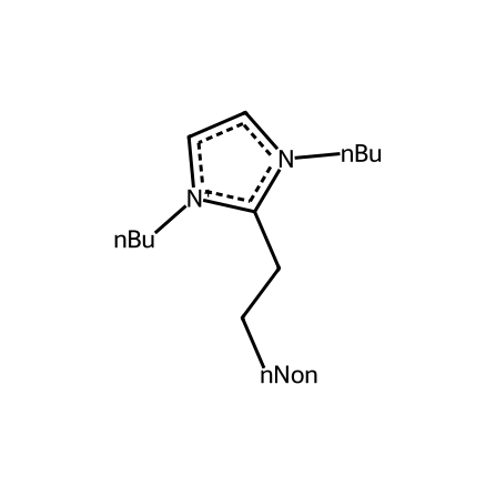 CCCCCCCCCCCc1n(CCCC)cc[n+]1CCCC